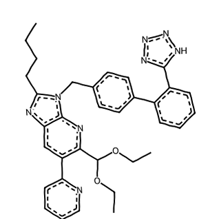 CCCCc1nc2cc(-c3ccccn3)c(C(OCC)OCC)nc2n1Cc1ccc(-c2ccccc2-c2nnn[nH]2)cc1